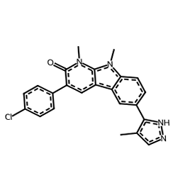 Cc1cn[nH]c1-c1ccc2c(c1)c1cc(-c3ccc(Cl)cc3)c(=O)n(C)c1n2C